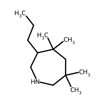 CCCC1CNCC(C)(C)CC1(C)C